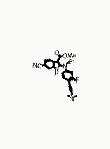 COC(=O)c1c(N(c2ccc(C#C[Si](C)(C)C)c(F)c2)C(C)C)[nH]c2cc(C#N)ccc12